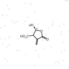 C=C1C(=O)O[C@H](CCC)C1C(=O)O